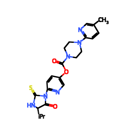 Cc1ccc(N2CCN(C(=O)Oc3ccc(N4C(=O)C(C(C)C)NC4=S)nc3)CC2)nc1